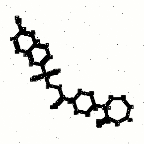 O=C(CCS(=O)(=O)c1ccc2cc(Cl)ccc2c1)N1CCC(N2CCCCCC2=O)CC1